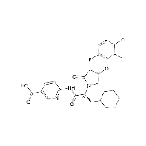 O=C(O)c1ccc(NC(=O)[C@H](CC2CCCCC2)N2CC(Oc3c(F)ccc(Cl)c3F)CC2=O)nc1